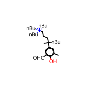 CCCCC(C)(CCC[N+](CCCC)(CCCC)CCCC)c1cc(C)c(O)c(C=O)c1